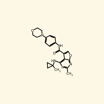 Cc1nc(NC2(C)CC2)c2c(C(=O)Nc3ccc(N4CCOCC4)cc3)coc2n1